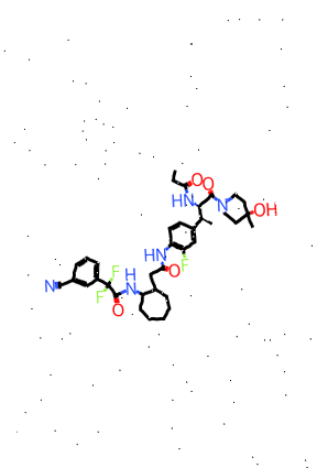 CCC(=O)N[C@@H](C(=O)N1CCC(C)(O)CC1)[C@@H](C)c1ccc(NC(=O)CC2CCCCCC2NC(=O)C(F)(F)c2cccc(C#N)c2)c(F)c1